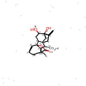 C=C1CC23CC1(O)C(O)CC2C12C=CCC(C)(C(=O)O1)C2C3C(=O)O